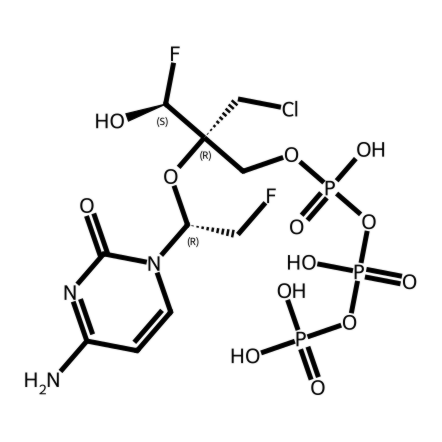 Nc1ccn([C@@H](CF)O[C@](CCl)(COP(=O)(O)OP(=O)(O)OP(=O)(O)O)[C@@H](O)F)c(=O)n1